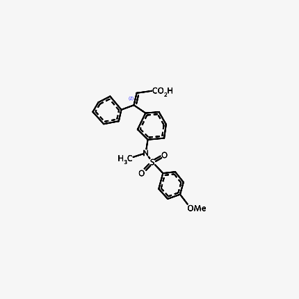 COc1ccc(S(=O)(=O)N(C)c2cccc(/C(=C\C(=O)O)c3ccccc3)c2)cc1